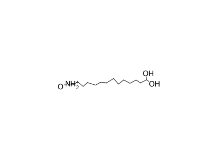 [O-][NH2+]CCCCCCCCCCCCCC(O)O